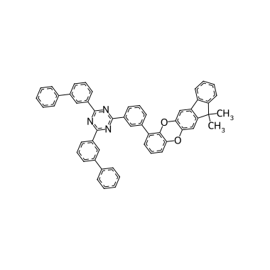 CC1(C)c2ccccc2-c2cc3c(cc21)Oc1cccc(-c2cccc(-c4nc(-c5cccc(-c6ccccc6)c5)nc(-c5cccc(-c6ccccc6)c5)n4)c2)c1O3